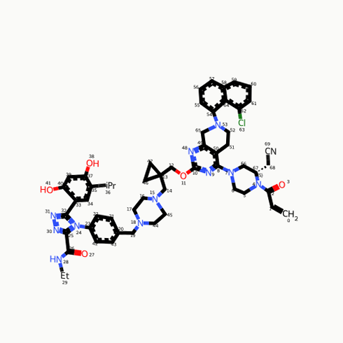 C=CC(=O)N1CCN(c2nc(OCC3(CN4CCN(Cc5ccc(-n6c(C(=O)NCC)nnc6-c6cc(C(C)C)c(O)cc6O)cc5)CC4)CC3)nc3c2CCN(c2cccc4cccc(Cl)c24)C3)C[C@@H]1CC#N